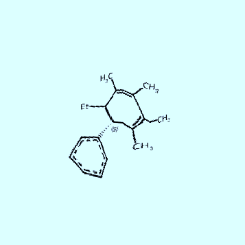 CC[C]1C(C)=C(C)C(C)=C(C)[C@@H]1c1ccccc1